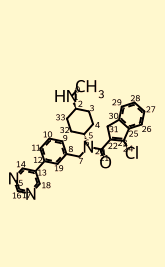 CN[C@H]1CC[C@H](N(Cc2cccc(-c3cncnc3)c2)C(=O)C2=C(Cl)c3ccccc3C2)CC1